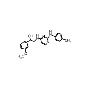 COc1cccc(C(O)CNc2ccnc(Nc3ccc(C)cc3)n2)c1